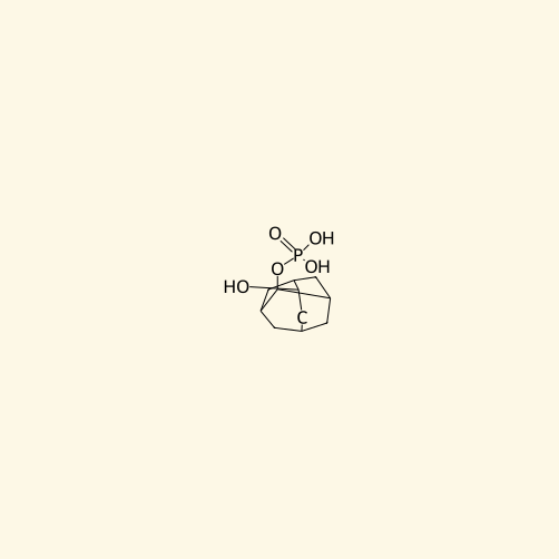 O=P(O)(O)OC1C2CC3CC(O)C(C2)CC1C3